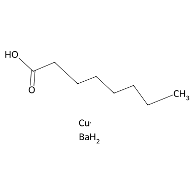 CCCCCCCC(=O)O.[BaH2].[Cu]